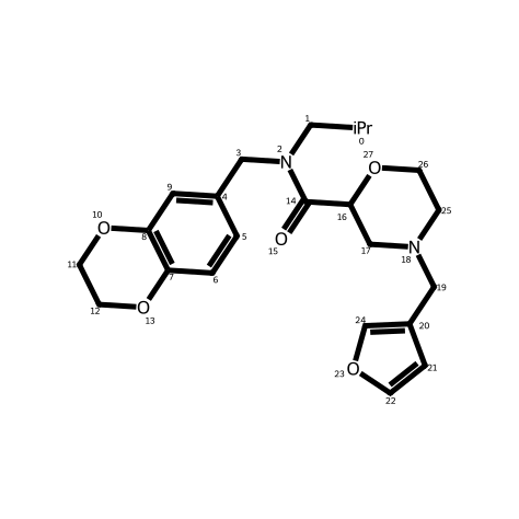 CC(C)CN(Cc1ccc2c(c1)OCCO2)C(=O)C1CN(Cc2ccoc2)CCO1